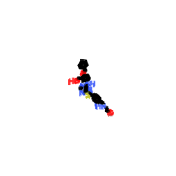 COCCNCc1ccc(-c2nc3c(Nc4ccc(OCc5ccccc5)c(CO)c4)ncnc3s2)cc1